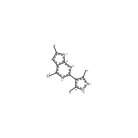 Cc1cc2c(Cl)nc(-c3c(C)noc3C)nc2s1